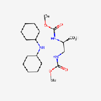 C1CCC(NC2CCCCC2)CC1.CC(C)(C)OC(=O)NC[C@@H](NC(=O)OC(C)(C)C)C(=O)O